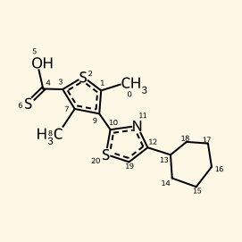 Cc1sc(C(O)=S)c(C)c1-c1nc(C2CCCCC2)cs1